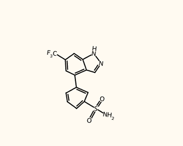 NS(=O)(=O)c1cccc(-c2cc(C(F)(F)F)cc3[nH]ncc23)c1